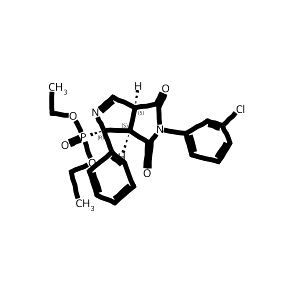 CCOP(=O)(OCC)[C@]1(c2ccccc2)N=C[C@H]2C(=O)N(c3cccc(Cl)c3)C(=O)[C@H]21